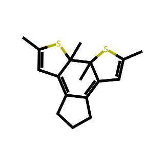 CC1=CC2=C3CCCC3=C3C=C(C)SC3(C)C2(C)S1